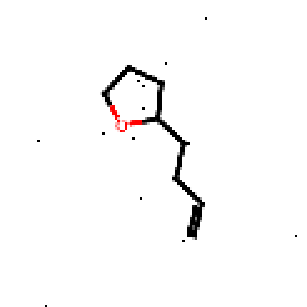 C=CC[CH]C1CCCO1